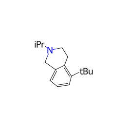 CC(C)N1CCc2c(cccc2C(C)(C)C)C1